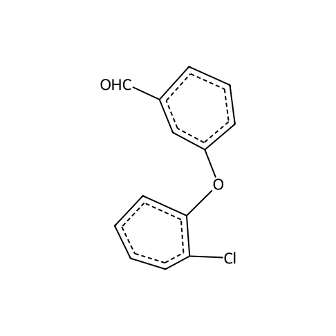 O=Cc1cccc(Oc2ccccc2Cl)c1